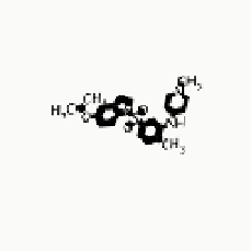 Cc1ccc(S(=O)(=O)n2ccc3cc(OC(C)C)ccc32)cc1NC1CCN(C)CC1